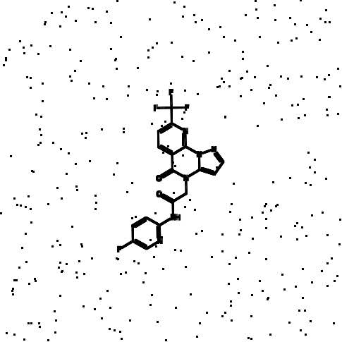 O=C(Cn1c(=O)c2ccc(C(F)(F)F)nc2n2nccc12)Nc1ccc(F)cn1